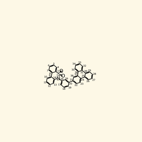 O=S1(=O)c2ccccc2-c2ccccc2N1c1cccc(-c2ccc3c4ccccc4c4ccccc4c3c2)c1